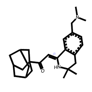 CN(C)Cc1ccc2c(c1)/C(=C/C(=O)C13CC4CC(CC(C4)C1)C3)NC(C)(C)C2